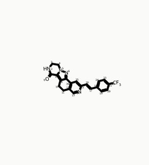 O=C1NCCn2nc3c(c21)CCc1cnc(C=Cc2ccc(C(F)(F)F)cc2)cc1-3